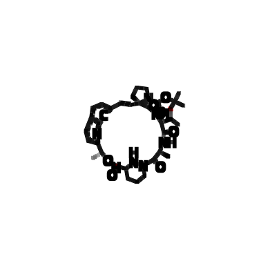 CC(C)[C@@H]1NC(=O)[C@@]2(/C=C/c3ccc4ccc(nc4c3)[C@@H](C)OC(=O)[C@@H]3CCCN(N3)C(=O)[C@H](C)NC1=O)CCCN2C(=O)OC(C)(C)C